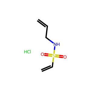 C=CCNS(=O)(=O)C=C.Cl